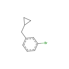 Brc1cccc(CC2CC2)c1